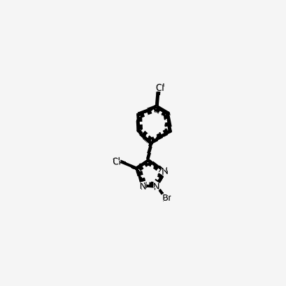 Clc1ccc(-c2nn(Br)nc2Cl)cc1